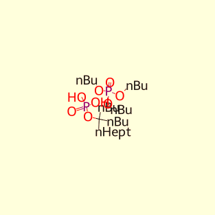 CCCCCCCC(CCCC)(CCCC)OP(=O)(O)O.CCCCOP(=O)(OCCCC)OCCCC